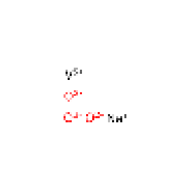 [Na+].[O-2].[O-2].[O-2].[V+5]